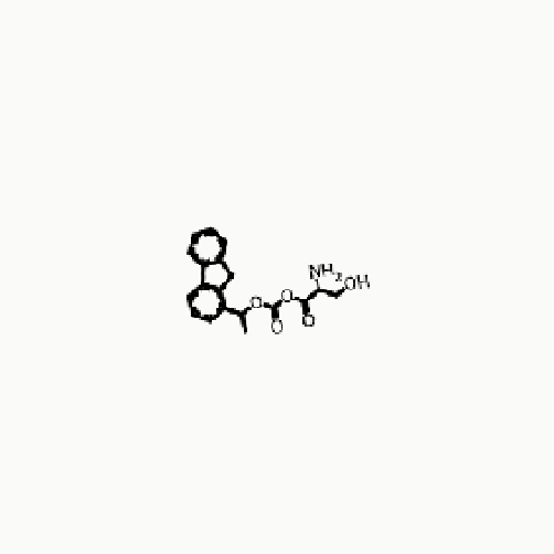 CC(OC(=O)OC(=O)[C@@H](N)CO)c1cccc2c1Cc1ccccc1-2